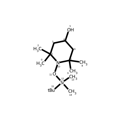 CC1(C)CC(O)CC(C)(C)N1O[Si](C)(C)C(C)(C)C